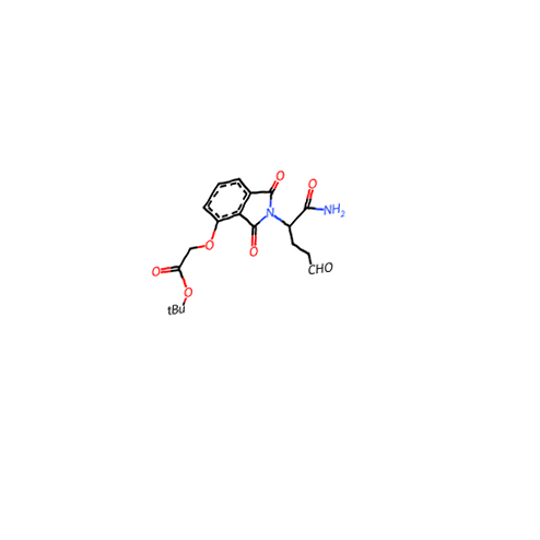 CC(C)(C)OC(=O)COc1cccc2c1C(=O)N(C(CCC=O)C(N)=O)C2=O